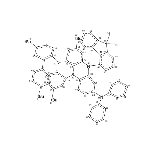 CC(C)(C)c1ccc(-c2cc(C(C)(C)C)ccc2N2c3ccc(C(C)(C)C)cc3B3c4ccc(N(c5ccccc5)c5ccccc5)cc4N(c4cccc5c4-c4ccccc4C5(C)C)c4cc(C(C)(C)C)cc2c43)cc1